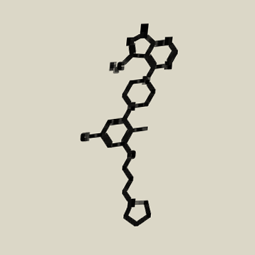 Cc1c(OCCCN2CCCC2)cc(Cl)cc1N1CCN(c2ncnc3[nH]nc(C(F)(F)F)c23)CC1